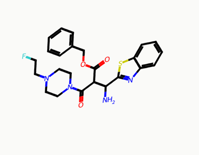 NC(c1nc2ccccc2s1)C(C(=O)OCc1ccccc1)C(=O)N1CCN(CCF)CC1